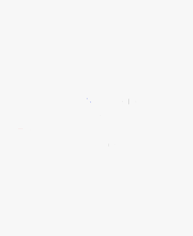 CN1c2ccc(O)cc2C(SC(C)(C)C)C1C(C=O)Cc1ccccc1